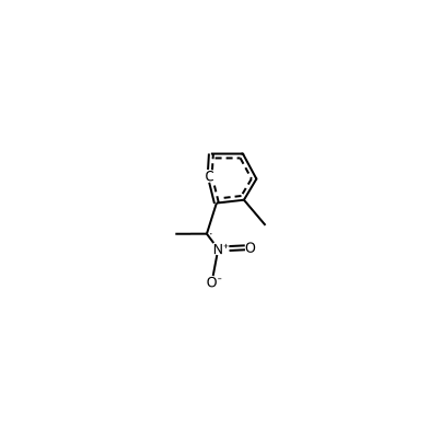 C[C](c1ccccc1C)[N+](=O)[O-]